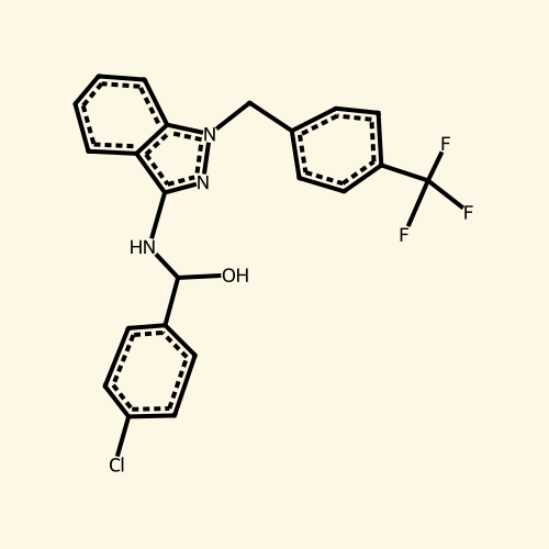 OC(Nc1nn(Cc2ccc(C(F)(F)F)cc2)c2ccccc12)c1ccc(Cl)cc1